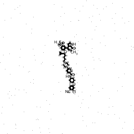 CN1C=C(c2cc(S(C)(=O)=O)ccc2OC(CCCCN2CCN(c3ccc(C(=O)N[C@H]4CC[C@H](Oc5ccc(C#N)c(Cl)c5)CC4)nn3)CC2)C2CC2)C2C=CNC2C1=O